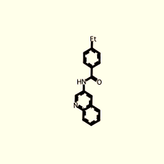 CCc1ccc(C(=O)Nc2cnc3ccccc3c2)cc1